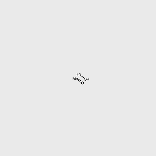 OO.[O]=[Mn]